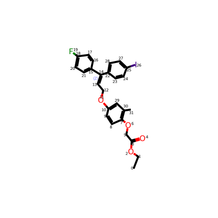 CCOC(=O)COc1ccc(OC/C=C(/c2ccc(F)cc2)c2ccc(I)cc2)cc1C